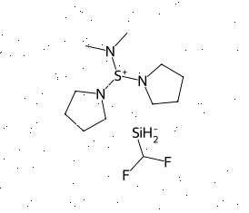 CN(C)[S+](N1CCCC1)N1CCCC1.FC(F)[SiH2-]